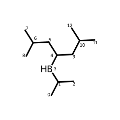 CC(C)BC(CC(C)C)CC(C)C